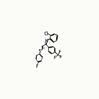 Fc1ccc(S/C=C/C(=N/c2ccccc2Cl)c2ccc(C(F)(F)F)cc2)cc1